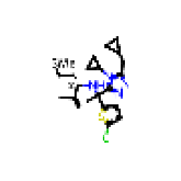 C=C(C)[C@H](CCSC)NC(C)(c1ccc(Cl)s1)c1nnc(CC2CC2)n1C1CC1